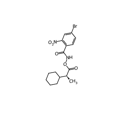 C[C@H](C(=O)ONC(=O)c1ccc(Br)cc1[N+](=O)[O-])C1CCCCC1